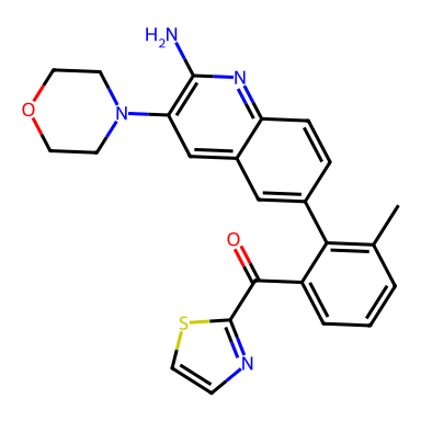 Cc1cccc(C(=O)c2nccs2)c1-c1ccc2nc(N)c(N3CCOCC3)cc2c1